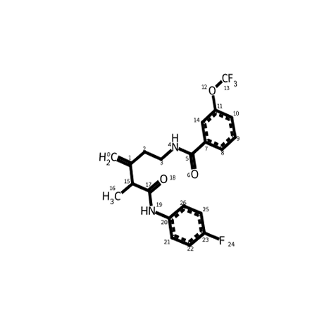 C=C(CCNC(=O)c1cccc(OC(F)(F)F)c1)C(C)C(=O)Nc1ccc(F)cc1